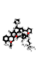 Cc1cccc(-c2c(CCC#N)cc3c(nc(-n4cncn4)c4cc(C5CCCN5C(=O)OCC[Si](C)(C)C)n([C@H]5[C@@H]6C[C@H]5N(C(=O)O)C6)c43)c2F)c1Cl